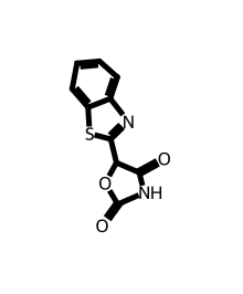 O=C1NC(=O)C(c2nc3ccccc3s2)O1